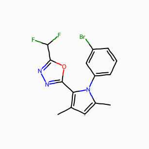 Cc1[c]c(C)n(-c2cccc(Br)c2)c1-c1nnc(C(F)F)o1